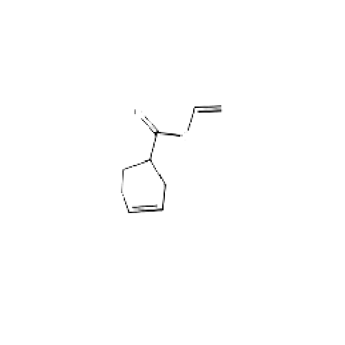 C=COC(=O)C1CC=CCC1